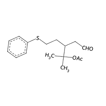 CC(=O)OC(C)(C)C(CC=O)CCSc1ccccc1